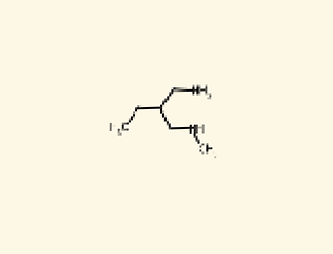 CCC(CN)CNC